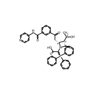 C[C@@H](O)[C@@H]1C(=O)N(C(C(=O)O)=P(c2ccccc2)(c2ccccc2)c2ccccc2)[C@@H]1CC(=O)c1cccc(C(=O)Nc2ccncc2)c1